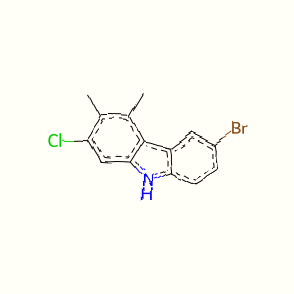 Cc1c(Cl)cc2[nH]c3ccc(Br)cc3c2c1C